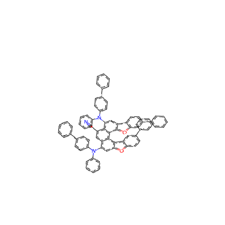 N#Cc1cc2c(N(c3ccccc3)c3ccc(-c4ccccc4)cc3)cc3oc4ccc(-c5ccccc5)cc4c3c2c2c1c(N(c1ccccc1)c1ccc(-c3ccccc3)cc1)cc1c3ccc(-c4ccccc4)cc3oc12